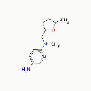 CC1CCC(CN(C)c2ccc(N)cn2)O1